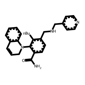 CCCCc1c(CNCc2ccncc2)ccc(C(N)=O)c1N1CC=Cc2ccccc21